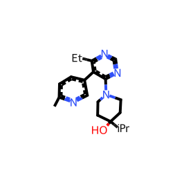 CCc1ncnc(N2CCC(O)(C(C)C)CC2)c1-c1ccc(C)nc1